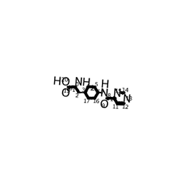 N[C@@H](C[C@H]1CC[C@@H](NC(=O)c2ccncn2)CC1)C(=O)O